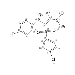 CCC[S+]([O-])c1snc(-c2ccc(F)cc2)c1S(=O)(=O)c1ccc(Cl)cc1